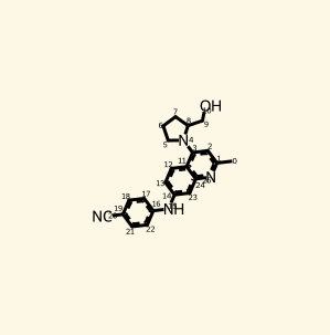 Cc1cc(N2CCCC2CO)c2ccc(Nc3ccc(C#N)cc3)cc2n1